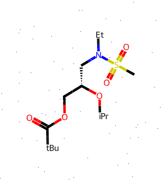 CCN(C[C@@H](COC(=O)C(C)(C)C)OC(C)C)S(C)(=O)=O